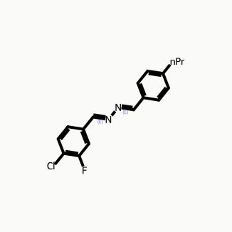 CCCc1ccc(/C=N/N=C/c2ccc(Cl)c(F)c2)cc1